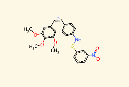 COc1cc(/C=C\c2ccc(NSc3cccc([N+](=O)[O-])c3)cc2)cc(OC)c1OC